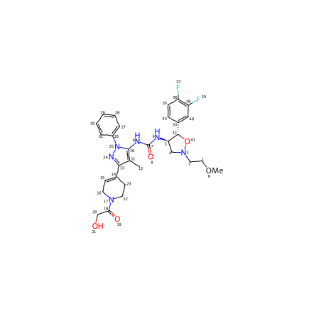 COCCN1C[C@@H](NC(=O)Nc2c(C)c(C3=CCN(C(=O)CO)CC3)nn2-c2ccccc2)[C@H](c2ccc(F)c(F)c2)O1